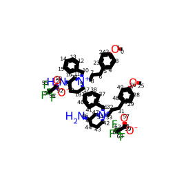 COc1ccc(CCC[N+]2(Cc3ccccc3)CCCC(N)C2)cc1.COc1ccc(CCC[N+]2(Cc3ccccc3)CCCC(N)C2)cc1.O=C([O-])C(F)(F)F.O=C([O-])C(F)(F)F